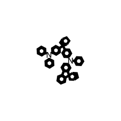 c1ccc(N(c2ccccc2)c2ccc(C3(c4ccc(N(c5ccccc5)c5ccc6c(c5)C5(CC7CCC5C7)c5ccccc5-6)cc4)CC4CCC3C4)cc2)cc1